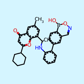 Cc1cc([C@@H](C)Nc2ccccc2-c2ccc3c(c2)C=NOB3O)c2oc(C3CCCCC3)cc(=O)c2c1